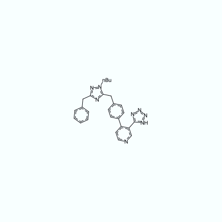 CCCCn1nc(Cc2ccccc2)nc1Cc1ccc(-c2ccncc2-c2nnn[nH]2)cc1